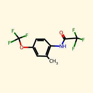 Cc1cc(OC(F)(F)F)ccc1NC(=O)C(F)(F)F